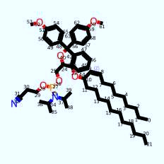 CCCCCCCC/C=C\C(CCCCCCCCCCC)OCC(COP(OCCC#N)N(C(C)C)C(C)C)OC(c1ccccc1)(c1ccc(OC)cc1)c1ccc(OC)cc1